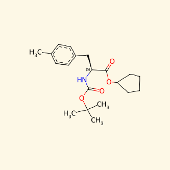 Cc1ccc(C[C@H](NC(=O)OC(C)(C)C)C(=O)OC2CCCC2)cc1